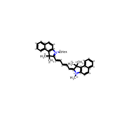 CCCCCC[N+]1=C(/C=C/C=C/C=C2/N(C)c3ccc4ccccc4c3C2(C)C)C(C)(C)c2c1ccc1ccccc21